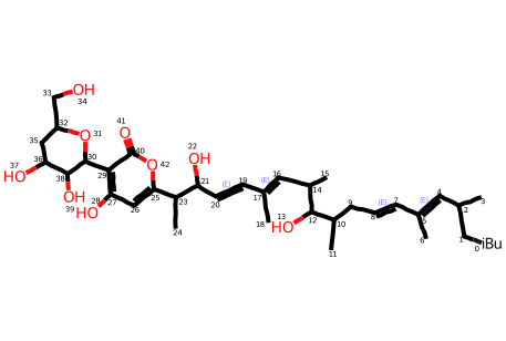 CCC(C)CC(C)/C=C(C)/C=C/CC(C)C(O)C(C)/C=C(C)/C=C/C(O)C(C)c1cc(O)c(C2OC(CO)CC(O)C2O)c(=O)o1